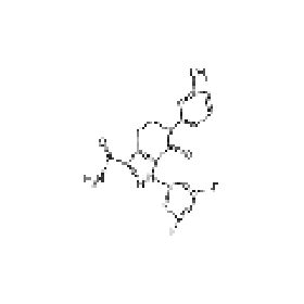 Cc1cccc(N2CCc3c(C(N)=O)nn(-c4cc(F)cc(F)c4)c3C2=O)c1